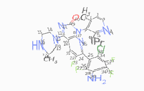 Cc1ccnc(C(C)C)c1-n1c(=O)nc(N2CCN[C@H](C)C2)c2cc(F)c(-c3c(F)c(N)c(F)c(F)c3Cl)nc21